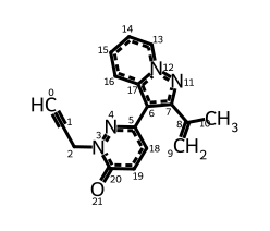 C#CCn1nc(-c2c(C(=C)C)nn3ccccc23)ccc1=O